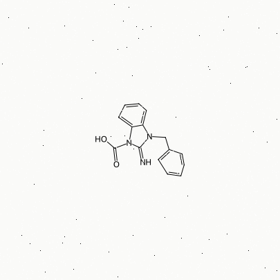 N=c1n(Cc2ccccc2)c2ccccc2n1C(=O)O